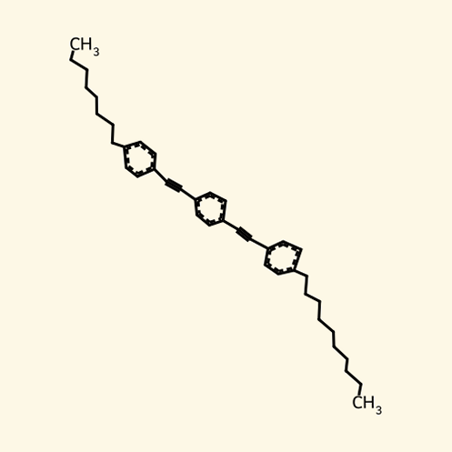 CCCCCCCCCCc1ccc(C#Cc2ccc(C#Cc3ccc(CCCCCCCC)cc3)cc2)cc1